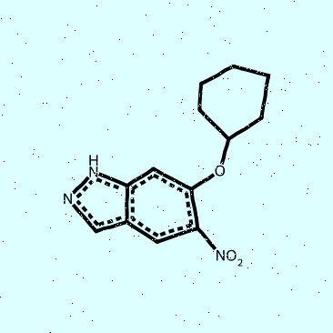 O=[N+]([O-])c1cc2cn[nH]c2cc1OC1CCCCC1